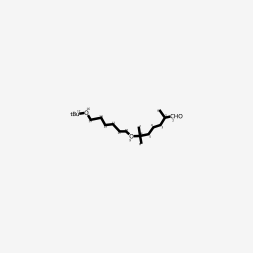 CC(C=O)CCCC(C)(C)OCCCCCCOC(C)(C)C